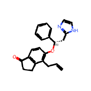 C=CCc1c(O[C@@H](Cc2ncc[nH]2)c2ccccc2)ccc2c1CCC2=O